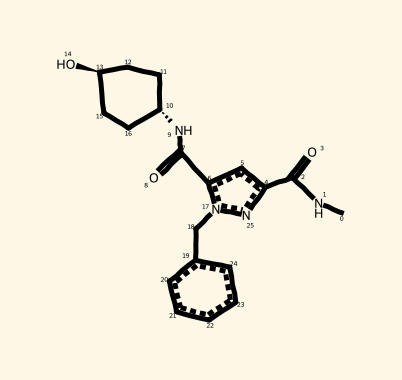 CNC(=O)c1cc(C(=O)N[C@H]2CC[C@H](O)CC2)n(Cc2ccccc2)n1